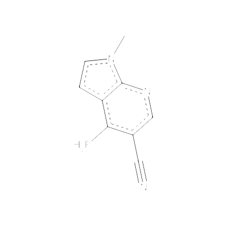 Cn1ccc2c(P)c(C#N)cnc21